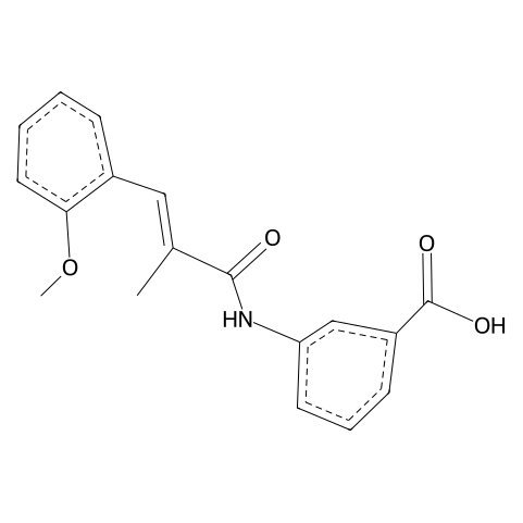 COc1ccccc1/C=C(\C)C(=O)Nc1cccc(C(=O)O)c1